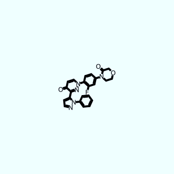 O=C1COCCN1c1ccc(-n2ccc(=O)c(-c3ccnn3-c3ccccc3)n2)c(F)c1